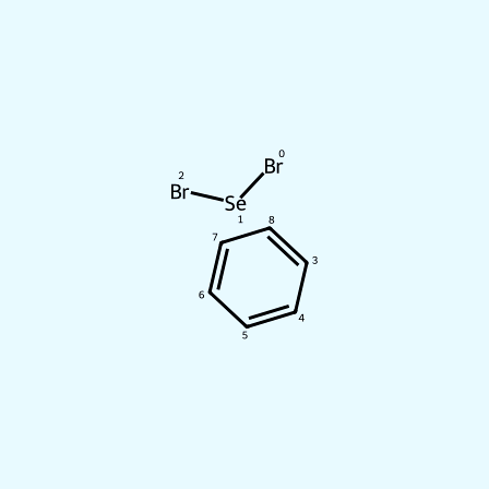 Br[Se]Br.c1ccccc1